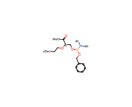 CCCCCCCCCCCCO[C@H](COP(OCc1ccccc1)N(C(C)C)C(C)C)C(=O)OC